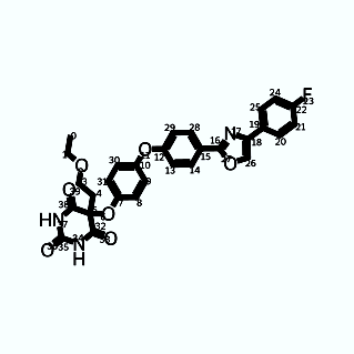 CCOCCC1(Oc2ccc(Oc3ccc(-c4nc(-c5ccc(F)cc5)co4)cc3)cc2)C(=O)NC(=O)NC1=O